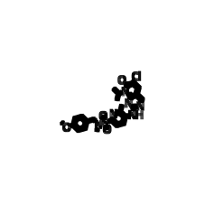 COc1ccc(CN(C)S(=O)(=O)c2ccc(Nc3ncc4cc(Cl)c(=O)n(C(C)C)c4n3)c(C)n2)cc1